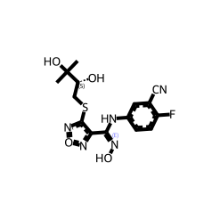 CC(C)(O)[C@H](O)CSc1nonc1/C(=N\O)Nc1ccc(F)c(C#N)c1